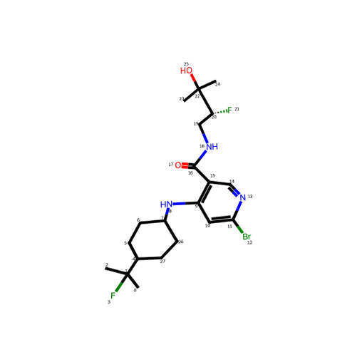 CC(C)(F)C1CCC(Nc2cc(Br)ncc2C(=O)NC[C@@H](F)C(C)(C)O)CC1